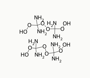 NC(N)(OO)OOC(N)(N)OO.NC(N)(OO)OOC(N)(N)OO